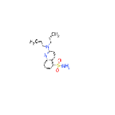 C=CCN(CC=C)c1ccc2c(S(N)(=O)=O)cccc2n1